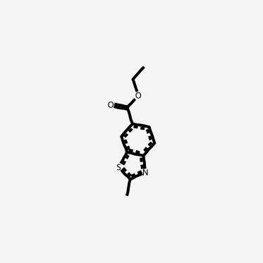 CCOC(=O)c1ccc2nc(C)sc2c1